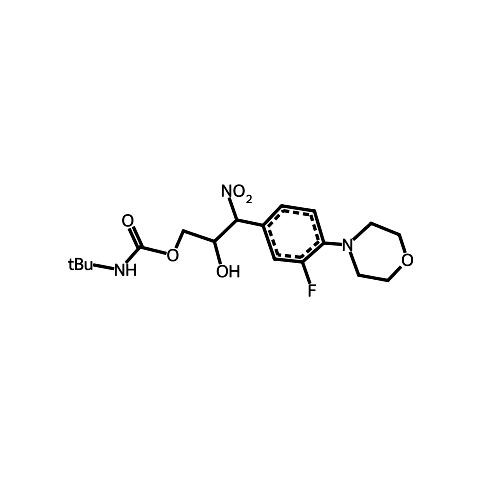 CC(C)(C)NC(=O)OCC(O)C(c1ccc(N2CCOCC2)c(F)c1)[N+](=O)[O-]